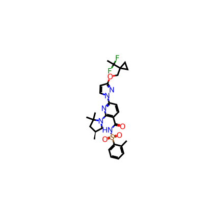 Cc1ccccc1S(=O)(=O)NC(=O)c1ccc(-n2ccc(OCC3(C(C)(F)F)CC3)n2)nc1N1C[C@@H](C)CC1(C)C